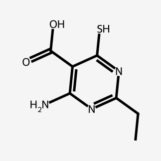 CCc1nc(N)c(C(=O)O)c(S)n1